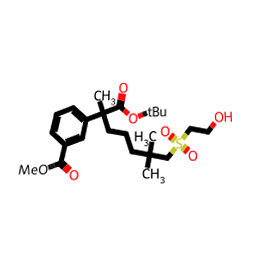 COC(=O)c1cccc(C(C)(CCCC(C)(C)CS(=O)(=O)CCO)C(=O)OC(C)(C)C)c1